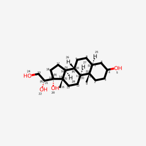 C[C@]12CCC(O)C[C@@H]1CC[C@@H]1[C@@H]2CC[C@@]2(C)[C@H]1CC[C@]2(O)[C@H](O)CO